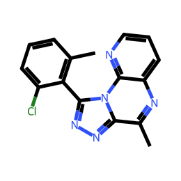 Cc1cccc(Cl)c1-c1nnc2c(C)nc3cccnc3n12